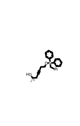 CC(C)C[Si](OCCC#CC[C@H](C)O)(c1ccccc1)c1ccccc1